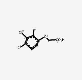 Cc1c(OCC(=O)O)ccc(Cl)c1Cl